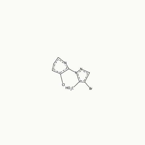 O=C(O)c1c(Br)cnn1-c1ncccc1Cl